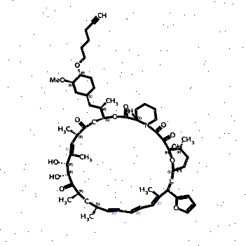 C#CCCCCO[C@@H]1CC[C@@H](C[C@@H](C)[C@@H]2CC(=O)[C@H](C)/C=C(\C)[C@@H](O)[C@@H](O)C(=O)[C@H](C)C[C@H](C)/C=C/C=C/C=C(\C)C(c3ccco3)C[C@@H]3CC[C@@H](C)[C@@](O)(O3)C(=O)C(=O)N3CCCC[C@H]3C(=O)O2)C[C@H]1OC